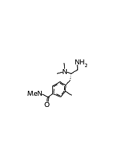 CNC(=O)c1ccc(C[C@@H](CN)N(C)C)c(C)c1